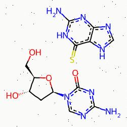 Nc1nc2nc[nH]c2c(=S)[nH]1.Nc1ncn([C@H]2C[C@H](O)[C@@H](CO)O2)c(=O)n1